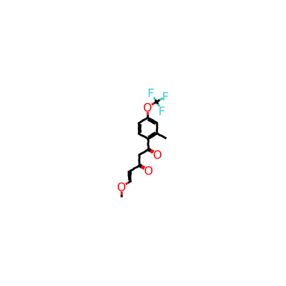 CO/C=C/C(=O)CC(=O)c1ccc(OC(F)(F)F)cc1C